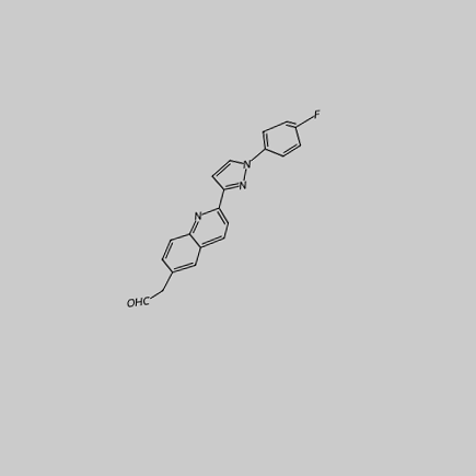 O=CCc1ccc2nc(-c3ccn(-c4ccc(F)cc4)n3)ccc2c1